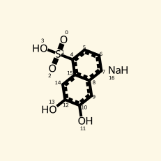 O=S(=O)(O)c1cccc2cc(O)c(O)cc12.[NaH]